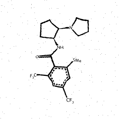 CSc1cc(C(F)(F)F)cc(C(F)(F)F)c1C(=O)N[C@H]1CCC[C@H]1N1CCCC1